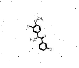 COc1ccc(N(C)C(=O)c2cccc(Cl)c2)cc1Cl